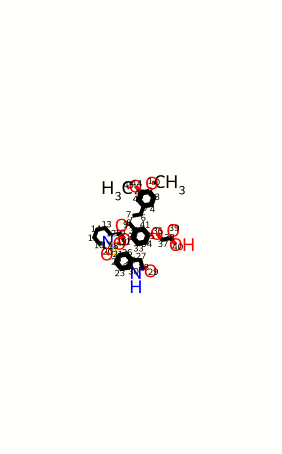 COc1ccc(CC[C@@H](OC(=O)[C@@H]2CCCCN2S(=O)(=O)c2ccc3c(c2)CC(=O)N3)c2cccc(OCC(=O)O)c2)cc1OC